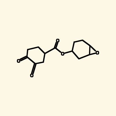 O=C1CCC(C(=O)OC2CCC3OC3C2)CC1=O